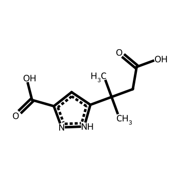 CC(C)(CC(=O)O)c1cc(C(=O)O)n[nH]1